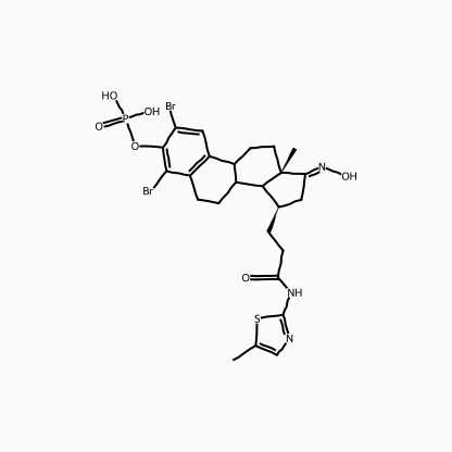 Cc1cnc(NC(=O)CC[C@@H]2CC(=NO)[C@@]3(C)CCC4c5cc(Br)c(OP(=O)(O)O)c(Br)c5CCC4C23)s1